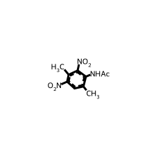 CC(=O)Nc1c(C)cc([N+](=O)[O-])c(C)c1[N+](=O)[O-]